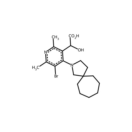 Cc1nc(C)c(C(O)C(=O)O)c(N2CCC3(CCCCCC3)C2)c1Br